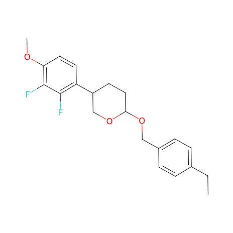 CCc1ccc(COC2CCC(c3ccc(OC)c(F)c3F)CO2)cc1